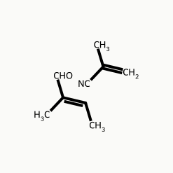 C=C(C)C#N.CC=C(C)C=O